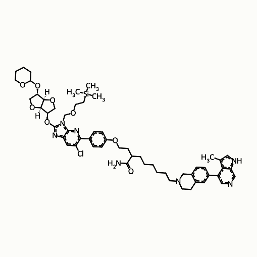 Cc1c[nH]c2cncc(-c3ccc4c(c3)CCN(CCCCCCC(CCOc3ccc(-c5nc6c(cc5Cl)nc(O[C@@H]5CO[C@H]7[C@@H]5OC[C@H]7OC5CCCCO5)n6COCC[Si](C)(C)C)cc3)C(N)=O)C4)c12